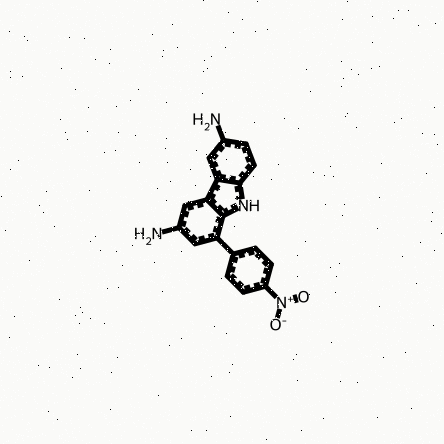 Nc1ccc2[nH]c3c(-c4ccc([N+](=O)[O-])cc4)cc(N)cc3c2c1